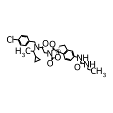 CCNC(=O)Nc1ccc2c(c1)CC[C@@]21OC(=O)N(CC(=O)N(Cc2ccc(Cl)cc2)C(C)C2CC2)C1=O